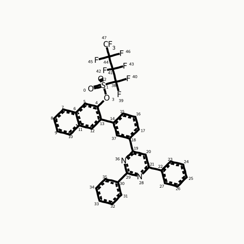 O=S(=O)(Oc1cc2ccccc2cc1-c1cccc(-c2cc(-c3ccccc3)nc(-c3ccccc3)n2)c1)C(F)(F)C(F)(F)C(F)(F)C(F)(F)F